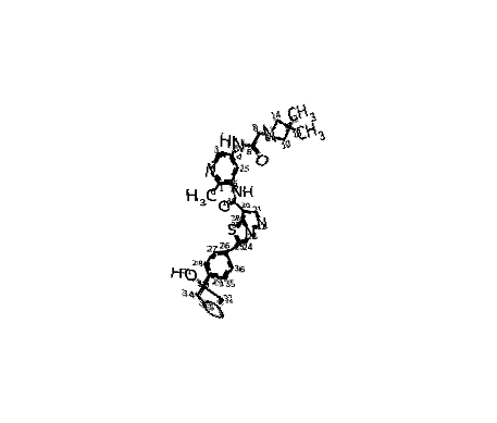 Cc1ncc(NC(=O)CN2CC(C)(C)C2)cc1NC(=O)c1cnn2cc(-c3ccc(C4(O)COC4)cc3)sc12